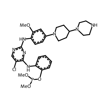 COc1cc(N2CCC(N3CCNCC3)CC2)ccc1Nc1ncc(Cl)c(Nc2ccccc2OP(OC)OC)n1